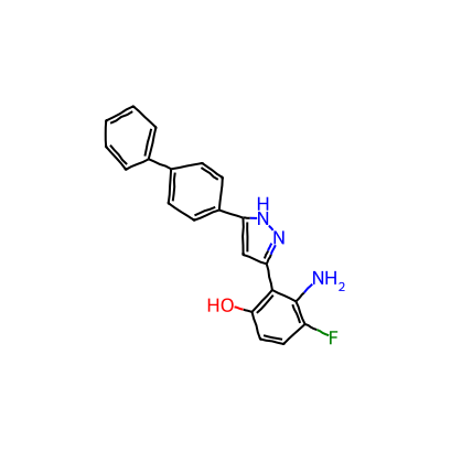 Nc1c(F)ccc(O)c1-c1cc(-c2ccc(-c3ccccc3)cc2)[nH]n1